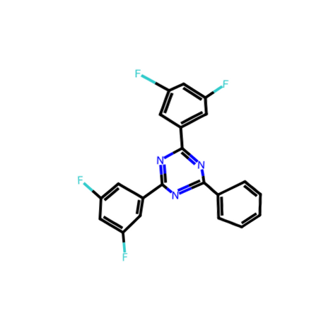 Fc1cc(F)cc(-c2nc(-c3ccccc3)nc(-c3cc(F)cc(F)c3)n2)c1